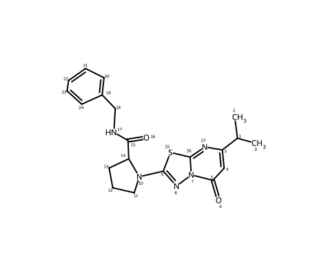 CC(C)c1cc(=O)n2nc(N3CCCC3C(=O)NCc3ccccc3)sc2n1